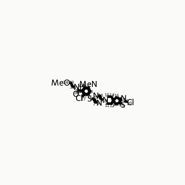 CNc1ccc(Sc2cnc(N3CCC4(CC3)Cc3nc(Cl)sc3C4)cn2)c(Cl)c1C(=O)NCCOC